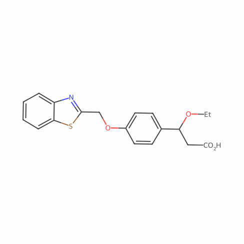 CCOC(CC(=O)O)c1ccc(OCc2nc3ccccc3s2)cc1